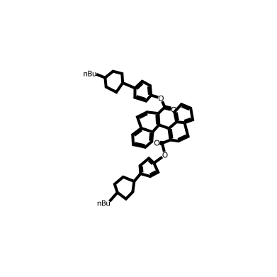 CCCCC1CCC(c2ccc(OC(=O)c3ccc4ccccc4c3-c3c(C(=O)Oc4ccc(C5CCC(CCCC)CC5)cc4)ccc4ccccc34)cc2)CC1